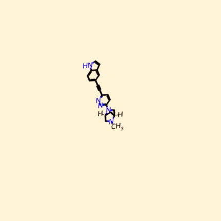 CN1C[C@@H]2C[C@H]1CN2c1ccc(C#Cc2ccc3[nH]ccc3c2)nn1